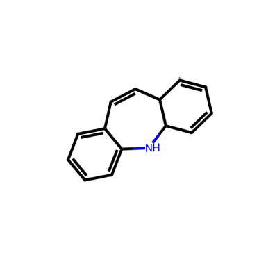 [C]1=CC=CC2Nc3ccccc3C=CC12